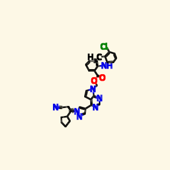 Cc1c(Cl)cccc1Nc1ccccc1C(=O)OCn1ccc2c(-c3cnn([C@H](CC#N)C4CCCC4)c3)ncnc21